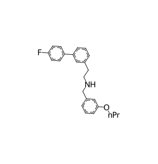 CCCOc1cccc(CNCCc2cccc(-c3ccc(F)cc3)c2)c1